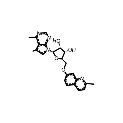 Cc1ccc2ccc(OC[C@H]3O[C@@H](n4cc(C)c5c(C)ncnc54)[C@H](O)[C@@H]3O)cc2n1